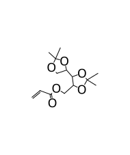 C=CC(=O)OCC1OC(C)(C)OC1C1COC(C)(C)O1